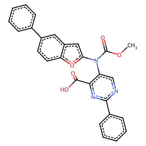 COC(=O)N(c1cc2cc(-c3ccccc3)ccc2o1)c1cnc(-c2ccccc2)nc1C(=O)O